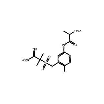 CNC(=N)C(C)(C)S(=O)(=O)Cc1cc(NC(=O)C(C)OC)ccc1F